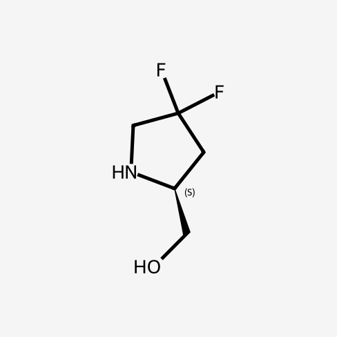 OC[C@@H]1CC(F)(F)CN1